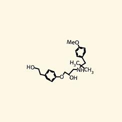 COc1ccc(CC(C)(C)NC[C@@H](O)COc2ccc(CCO)cc2)cc1